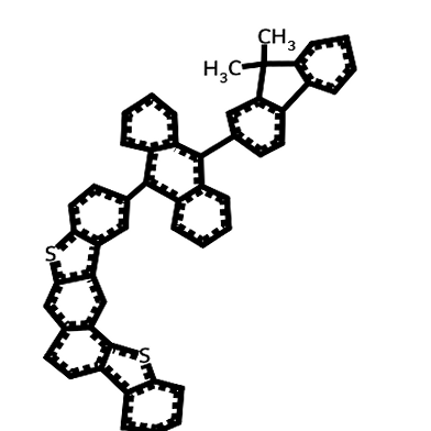 CC1(C)c2ccccc2-c2ccc(-c3c4ccccc4c(-c4ccc5sc6cc7ccc8c9ccccc9sc8c7cc6c5c4)c4ccccc34)cc21